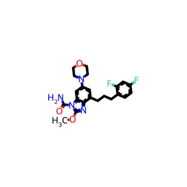 COc1nc2c(CCCc3ccc(F)cc3F)cc(N3CCOCC3)cc2n1C(N)=O